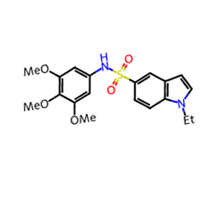 CCn1ccc2cc(S(=O)(=O)Nc3cc(OC)c(OC)c(OC)c3)ccc21